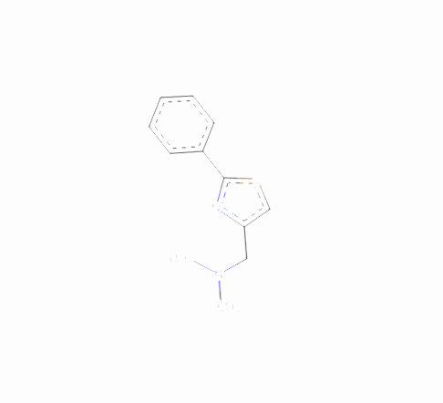 CN(C)Cc1csc(-c2ccccc2)n1